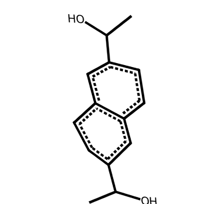 CC(O)c1ccc2cc(C(C)O)ccc2c1